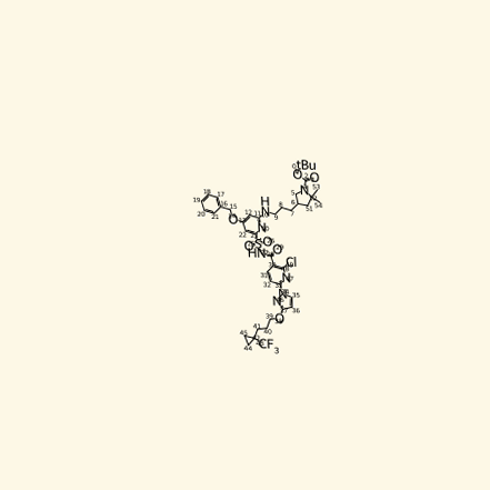 CC(C)(C)OC(=O)N1CC(CCCNc2cc(OCc3ccccc3)cc(S(=O)(=O)NC(=O)c3ccc(-n4ccc(OCCCC5(C(F)(F)F)CC5)n4)nc3Cl)n2)CC1(C)C